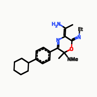 CC/N=C1/OC(C)(NC)C(c2ccc(C3CCCCC3)cc2)=N/C1=C(/C)N